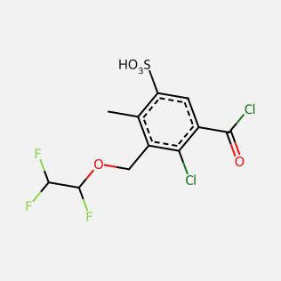 Cc1c(S(=O)(=O)O)cc(C(=O)Cl)c(Cl)c1COC(F)C(F)F